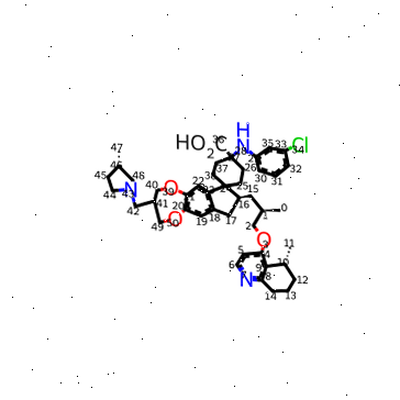 C[C@@H](COc1ccnc2c1[C@H](C)CCC2)C[C@H]1Cc2cc3c(cc2C12CCC(Nc1cccc(Cl)c1)(C(=O)O)CC2)OCC(CN1CC[C@H](C)C1)CO3